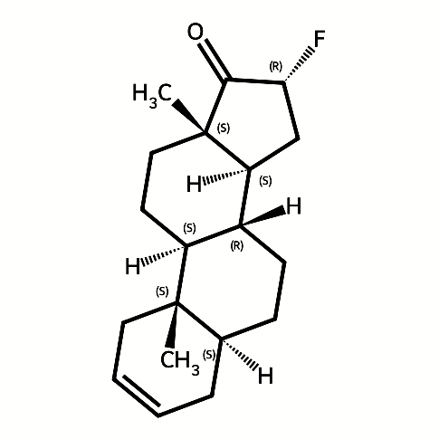 C[C@]12CC=CC[C@@H]1CC[C@@H]1[C@@H]2CC[C@]2(C)C(=O)[C@H](F)C[C@@H]12